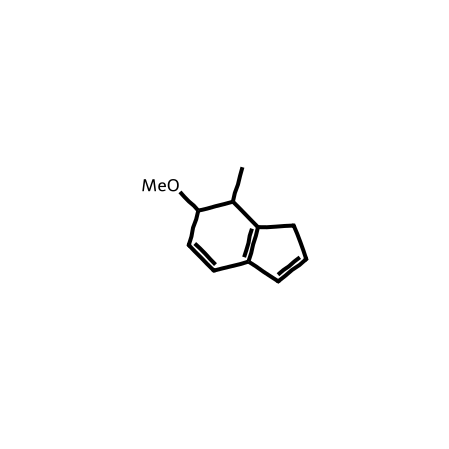 COC1C=CC2=C(CC=C2)C1C